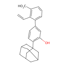 C=Cc1c(C(=O)O)cccc1-c1ccc(C23CC4CC(CC(C4)C2)C3)c(O)c1